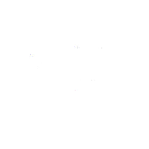 COCC1=C(C(=O)OCC(C)(C)C)C(c2ccc(F)cc2C(F)(F)F)C(C#N)=C(C)N1